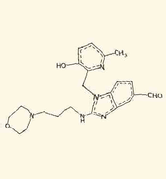 Cc1ccc(O)c(Cn2c(NCCCN3CCOCC3)nc3cc(C=O)ccc32)n1